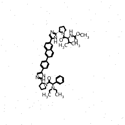 CCN(CC)[C@@H](C(=O)N1CCC[C@H]1c1ncc(-c2ccc(-c3ccc4cc(-c5cnc([C@@H]6CCCN6C(=O)[C@@H](NC(=O)OC)C(C)C)[nH]5)ccc4c3)cc2)[nH]1)c1ccccc1